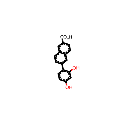 O=C(O)c1ccc2cc(-c3ccc(O)cc3O)ccc2c1